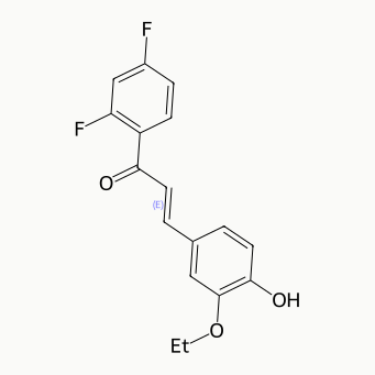 CCOc1cc(/C=C/C(=O)c2ccc(F)cc2F)ccc1O